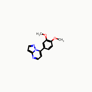 COc1ccc(-c2ccnc3ccnn23)cc1OC